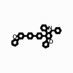 c1ccc(-c2nc3ccccc3c3c(-c4ccc(-c5ccc(-c6ccc7oc8ccccc8c7c6)cc5)cc4)c4c(cc23)oc2ccccc24)cc1